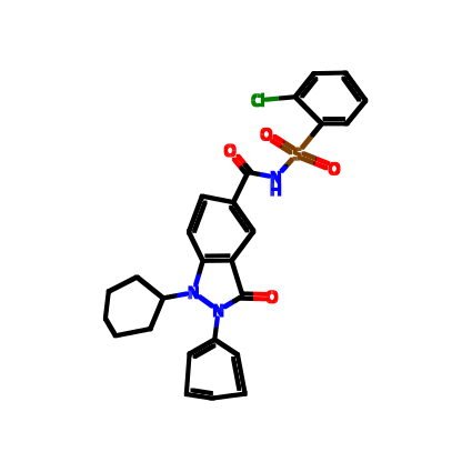 O=C(NS(=O)(=O)c1ccccc1Cl)c1ccc2c(c1)c(=O)n(-c1ccccc1)n2C1CCCCC1